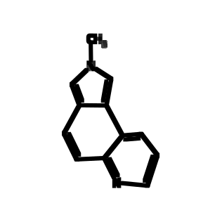 Cn1cc2ccc3ncccc3c2c1